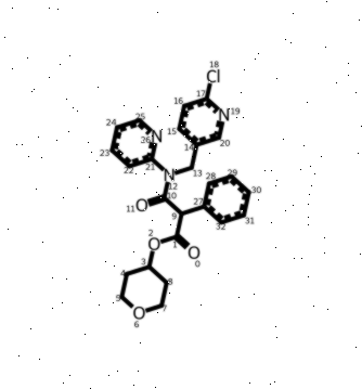 O=C(OC1CCOCC1)C(C(=O)N(Cc1ccc(Cl)nc1)c1ccccn1)c1ccccc1